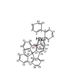 c1ccc(-c2ccccc2Nc2ccc3c(c2)C(c2ccccc2)(c2ccccc2-c2ccccc2)c2ccccc2-3)cc1